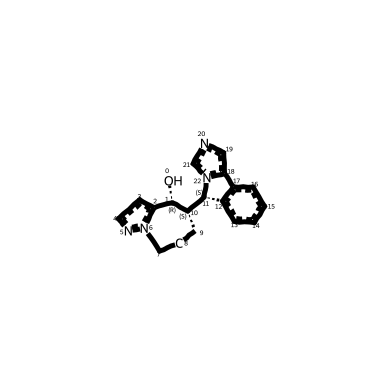 O[C@H]1c2ccnn2CCC[C@H]1[C@H]1c2ccccc2-c2cncn21